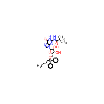 CCCC[Si](OC[C@H]1O[C@@H](n2cnc3c(=O)[nH]c(NC(=O)C(C)C)nc32)[C@H](O)[C@@H]1O)(c1ccccc1)c1ccccc1